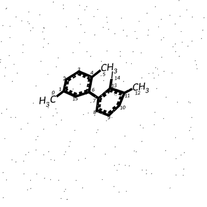 Cc1ccc(C)c(-c2cccc(C)c2I)c1